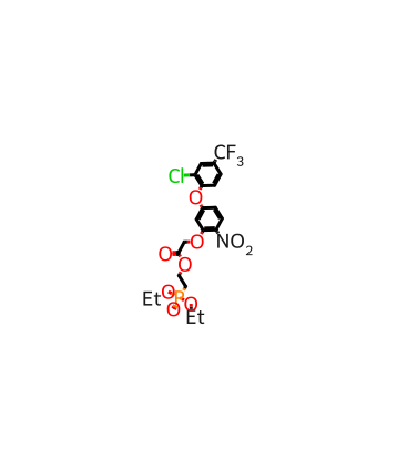 CCOP(=O)(CCOC(=O)COc1cc(Oc2ccc(C(F)(F)F)cc2Cl)ccc1[N+](=O)[O-])OCC